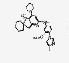 COc1cc(Nc2cc(N3CCCCC3)c3c(n2)CC2(CCCCC2)[S+]3[O-])ccc1-n1cnc(C)c1